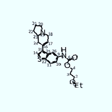 CCOCCCOC(=O)Nc1ccc2scc(C3=CCN4CCCC4C3)c2c1